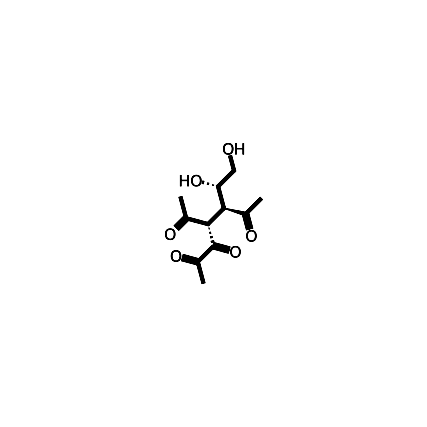 CC(=O)C(=O)[C@H](C(C)=O)[C@H](C(C)=O)[C@H](O)CO